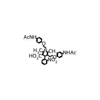 CC(=O)Nc1ccc(OCCC2=C(C)N(CCOc3ccc(NC(C)=O)cc3)C(C)=C(C(=O)O)C2c2ccccc2[N+](=O)[O-])cc1